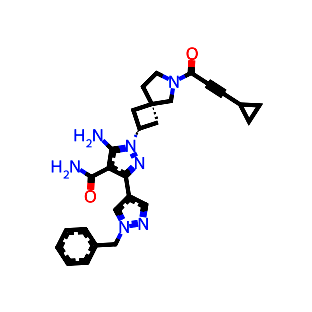 NC(=O)c1c(-c2cnn(Cc3ccccc3)c2)nn([C@H]2C[C@@]3(CCN(C(=O)C#CC4CC4)C3)C2)c1N